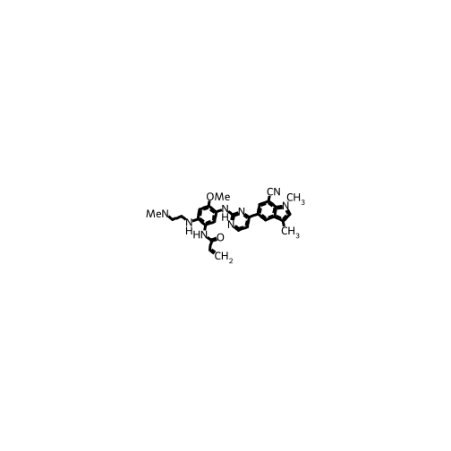 C=CC(=O)Nc1cc(Nc2nccc(-c3cc(C#N)c4c(c3)c(C)cn4C)n2)c(OC)cc1NCCNC